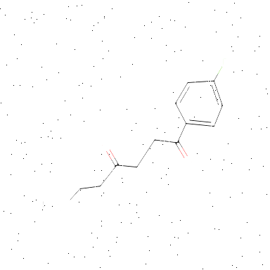 CCOC(=O)CCC(=O)CCC(=O)c1ccc(F)cc1